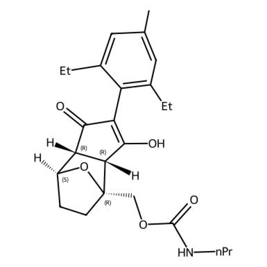 CCCNC(=O)OC[C@]12CC[C@H](O1)[C@@H]1C(=O)C(c3c(CC)cc(C)cc3CC)=C(O)[C@@H]12